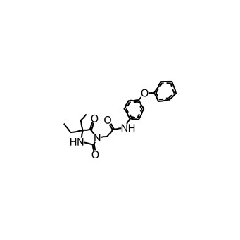 CCC1(CC)NC(=O)N(CC(=O)Nc2ccc(Oc3ccccc3)cc2)C1=O